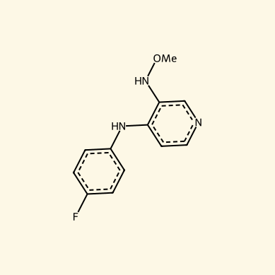 CONc1cnccc1Nc1ccc(F)cc1